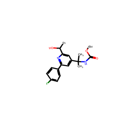 CCC(O)c1cc(C(C)(C)NC(=O)OC(C)(C)C)cc(-c2ccc(F)cc2)n1